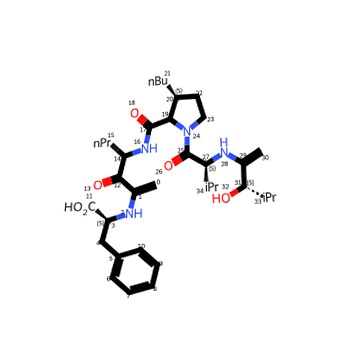 C=C(N[C@@H](Cc1ccccc1)C(=O)O)C(=O)C(CCC)NC(=O)C1[C@@H](CCCC)CCN1C(=O)[C@@H](NC(=C)[C@@H](O)C(C)C)C(C)C